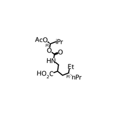 CCC[C@@H](CC)CC(CNC(=O)O[C@@H](OC(C)=O)C(C)C)C(=O)O